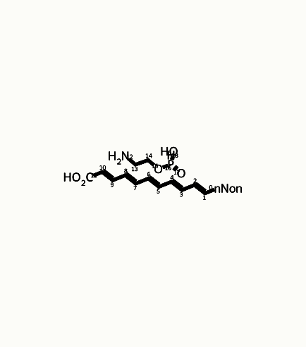 CCCCCCCCCC=CC=CC=CC=CC=CC(=O)O.NCCO[PH](=O)O